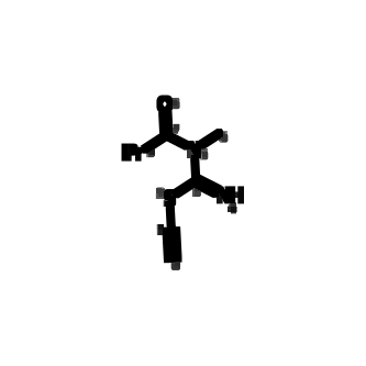 C#CSC(=N)N(C)C(=O)C(C)C